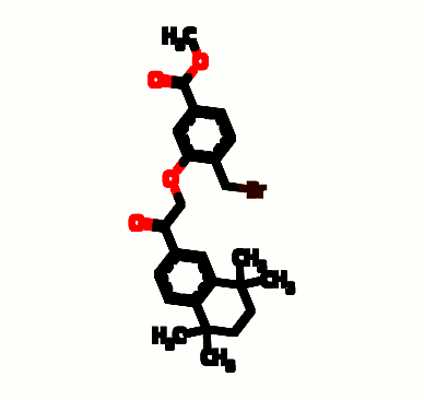 COC(=O)c1ccc(CBr)c(OCC(=O)c2ccc3c(c2)C(C)(C)CCC3(C)C)c1